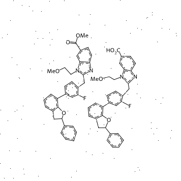 COCCn1c(Cc2ccc(-c3cccc4c3OC(c3ccccc3)C4)cc2F)nc2ccc(C(=O)O)cc21.COCCn1c(Cc2ccc(-c3cccc4c3OC(c3ccccc3)C4)cc2F)nc2ccc(C(=O)OC)cc21